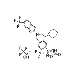 O=C(O)C(F)(F)F.O=c1[nH]c(-c2ccc(CN(CCN3CCCCC3)c3nc4ccc(C(F)(F)F)cc4s3)cc2C(F)(F)F)no1